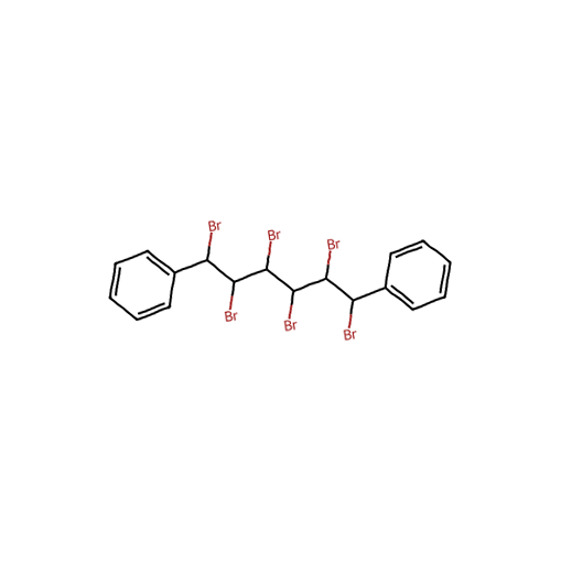 BrC(c1ccccc1)C(Br)C(Br)C(Br)C(Br)C(Br)c1ccccc1